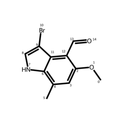 COc1cc(C)c2[nH]cc(Br)c2c1C=O